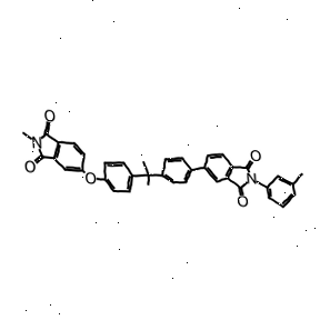 Cc1cccc(N2C(=O)c3ccc(-c4ccc(C(C)(C)c5ccc(Oc6ccc7c(c6)C(=O)N(C)C7=O)cc5)cc4)cc3C2=O)c1